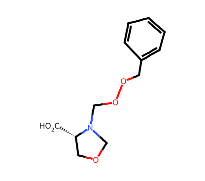 O=C(O)[C@H]1COCN1COOCc1ccccc1